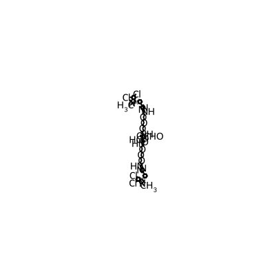 CN1Cc2c(Cl)cc(Cl)cc2[C@H](c2cccc(-c3cnc(NCCOCCOCCOCCNC(=O)[C@H](O)[C@@H](OC=O)C(=O)NCCOCCOCCOCCNc4ncc(-c5cccc([C@@H]6CN(C)Cc7c(Cl)cc(Cl)cc76)c5)cn4)nc3)c2)C1